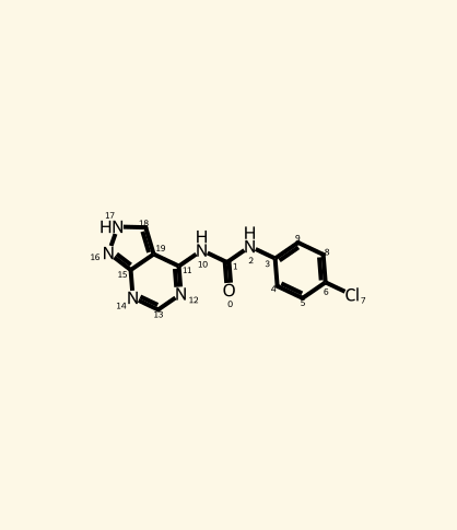 O=C(Nc1ccc(Cl)cc1)Nc1ncnc2n[nH]cc12